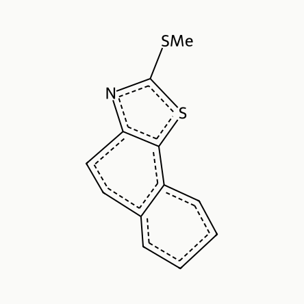 CSc1nc2ccc3ccccc3c2s1